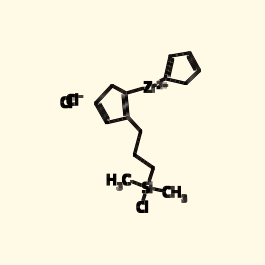 C[Si](C)(Cl)CCCC1=[C]([Zr+2][C]2=CC=CC2)CC=C1.[Cl-].[Cl-]